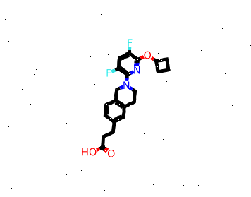 O=C(O)CCc1ccc2c(c1)CCN(c1nc(OC3CCC3)c(F)cc1F)C2